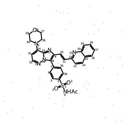 CC(=O)NS(=O)(=O)c1ccc(-c2c(C=Cc3ccc4ccccc4n3)nc3c(N4CCOCC4)ccnn23)cc1